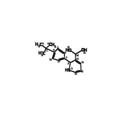 CC(C)(C)c1ccc(C2NC=CC=C2C(O)O)cc1